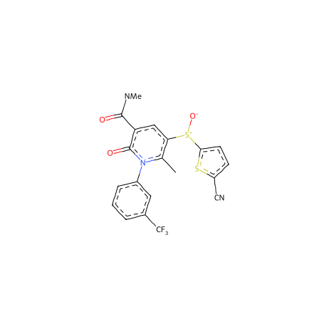 CNC(=O)c1cc([S+]([O-])c2ccc(C#N)s2)c(C)n(-c2cccc(C(F)(F)F)c2)c1=O